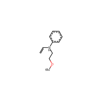 C=C[SiH](CCOC(C)(C)C)c1ccccc1